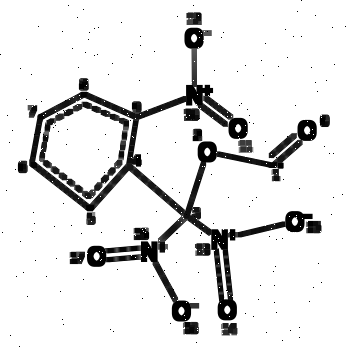 O=[C]OC(c1ccccc1[N+](=O)[O-])([N+](=O)[O-])[N+](=O)[O-]